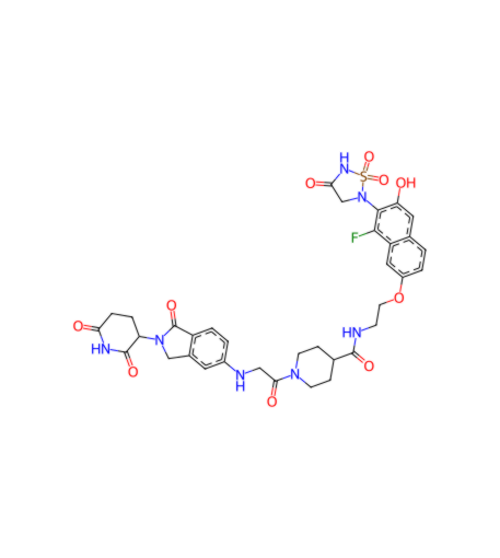 O=C1CCC(N2Cc3cc(NCC(=O)N4CCC(C(=O)NCCOc5ccc6cc(O)c(N7CC(=O)NS7(=O)=O)c(F)c6c5)CC4)ccc3C2=O)C(=O)N1